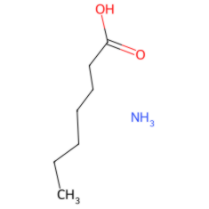 CCCCCCC(=O)O.N